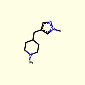 CC(C)N1CCC(Cc2cnn(C)c2)CC1